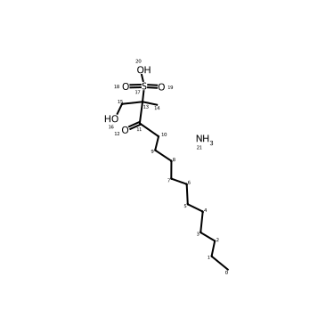 CCCCCCCCCCCC(=O)C(C)(CO)S(=O)(=O)O.N